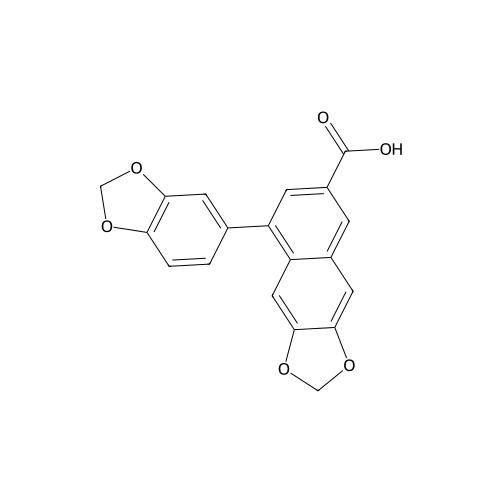 O=C(O)c1cc(-c2ccc3c(c2)OCO3)c2cc3c(cc2c1)OCO3